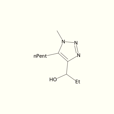 CCCCCc1c(C(O)CC)nnn1C